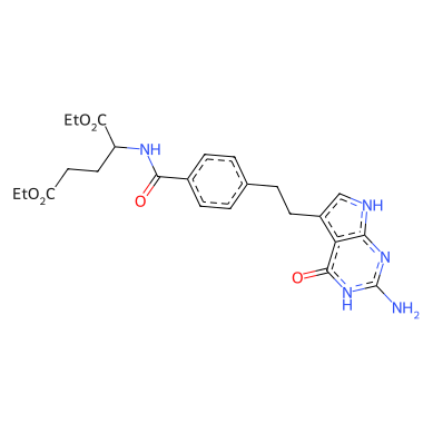 CCOC(=O)CCC(NC(=O)c1ccc(CCc2c[nH]c3nc(N)[nH]c(=O)c23)cc1)C(=O)OCC